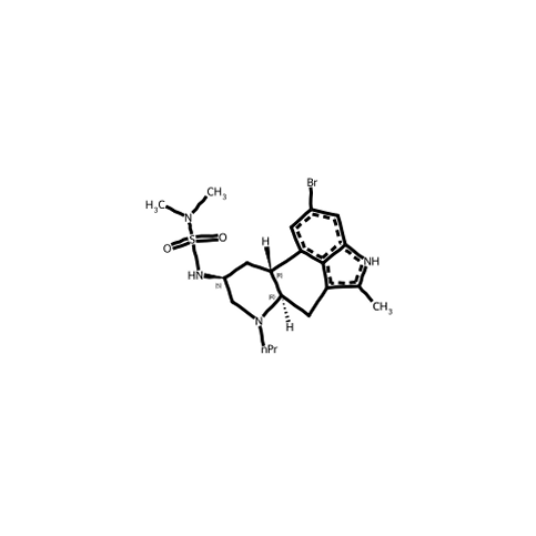 CCCN1C[C@@H](NS(=O)(=O)N(C)C)C[C@@H]2c3cc(Br)cc4[nH]c(C)c(c34)C[C@H]21